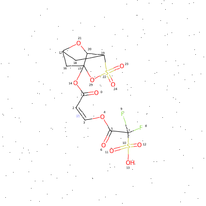 O=C(/C=C\OC(=O)C(F)(F)S(=O)(=O)O)OC12CC3CC(C1O3)S(=O)(=O)O2